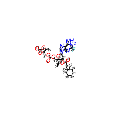 C#C[C@]1(COC(=O)OCc2oc(=O)oc2C)O[C@@H](n2cnc3c(N)nc(F)nc32)C[C@@H]1OC(=O)C1CC2(CCCCC2)C1